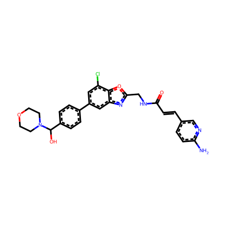 Nc1ccc(/C=C/C(=O)NCc2nc3cc(-c4ccc(C(O)N5CCOCC5)cc4)cc(Cl)c3o2)cn1